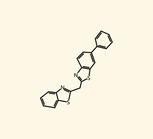 c1ccc(-c2ccc3nc(Cc4nc5ccccc5s4)sc3c2)cc1